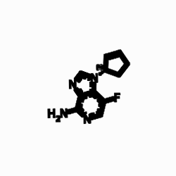 Nc1ncc(F)c2c1ncn2[C@@H]1C=CCC1